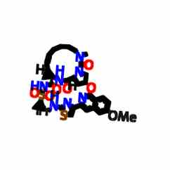 COc1ccc2c(O[C@@H]3C[C@H]4C(=O)N[C@]5(C(=O)NS(=O)(=O)C6CC6)C[C@H]5/C=C\CCCCN(C)C(=O)N4C3)nc(-c3csc(NC(C)C)n3)cc2c1